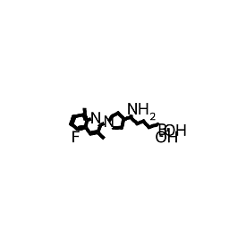 Cc1cc2c(F)ccc(C)c2nc1N1CCC(C(N)CCCCB(O)O)CC1